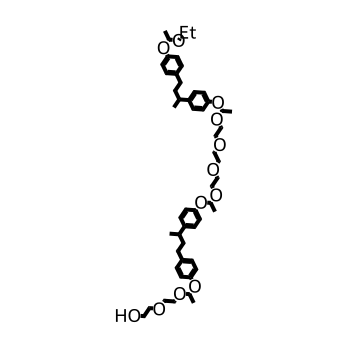 CCOC(C)Oc1ccc(CCC(C)c2ccc(OC(C)OCCOCCOCCOC(C)Oc3ccc(C(C)CCc4ccc(OC(C)OCCOCCO)cc4)cc3)cc2)cc1